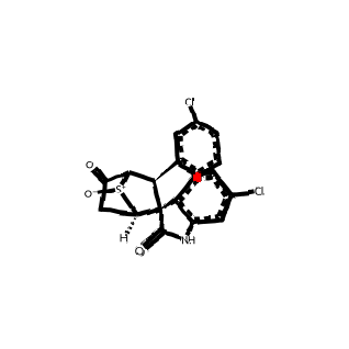 O=C1C[C@H]2[S+]([O-])C1[C@@H](c1cccc(Cl)c1)[C@]21C(=O)Nc2cc(Cl)ccc21